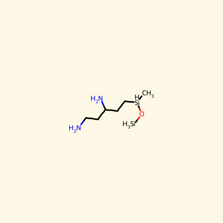 C[SiH](CCC(N)CCN)O[SiH3]